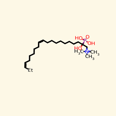 CC/C=C\CCCCC/C=C\CCCCCCCCC(O)(C[N+](C)(C)C)P(=O)(O)O